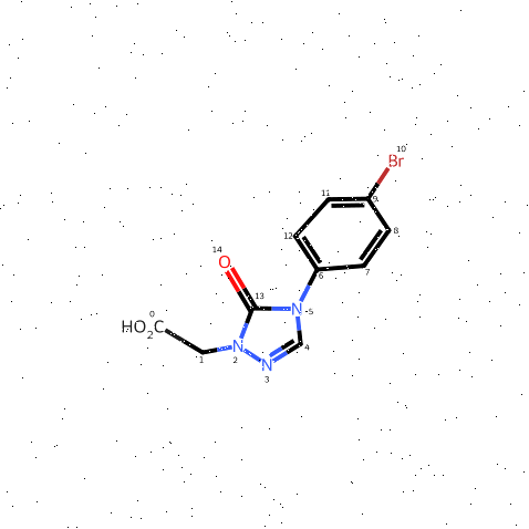 O=C(O)Cn1ncn(-c2ccc(Br)cc2)c1=O